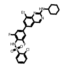 CCc1cc(-c2cc(F)c(NS(=O)(=O)c3ccccc3Cl)c(F)c2)cc2cnc(NC3CCCCC3)nc12